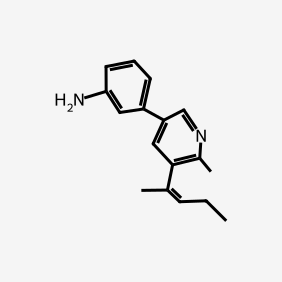 CC/C=C(/C)c1cc(-c2cccc(N)c2)cnc1C